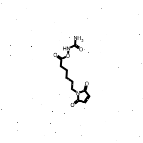 NC(=O)NOC(=O)CCCCCN1C(=O)C=CC1=O